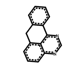 c1ccc2c(c1)Cc1cccc3ncnc-2c13